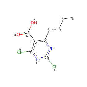 CCCCc1nc(Cl)nc(Cl)c1C(=O)O